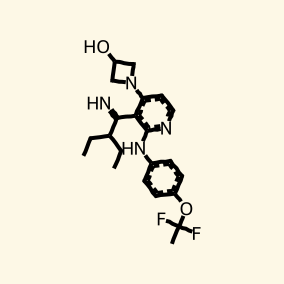 CCC(CC)C(=N)c1c(N2CC(O)C2)ccnc1Nc1ccc(OC(C)(F)F)cc1